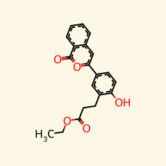 CCOC(=O)CCc1cc(-c2cc3ccccc3c(=O)o2)ccc1O